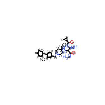 N#CCC1(N/C=C(\C(=N)NC(=O)C2CC2)C(N)=O)CCN(Cc2ccc(-c3ccccc3)c(C#N)c2)CC1